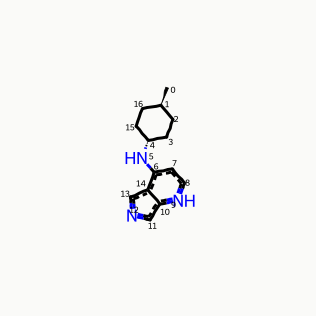 C[C@H]1CC[C@H](Nc2cc[nH]c3cncc2-3)CC1